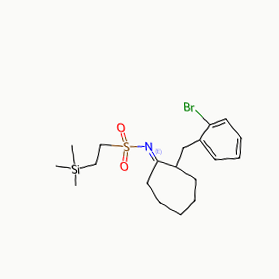 C[Si](C)(C)CCS(=O)(=O)/N=C1\CCCCCC1Cc1ccccc1Br